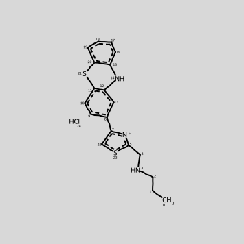 CCCNCc1nc(-c2ccc3c(c2)Nc2ccccc2S3)cs1.Cl